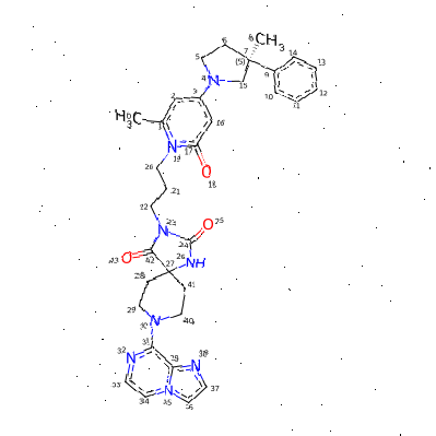 Cc1cc(N2CC[C@@](C)(c3ccccc3)C2)cc(=O)n1CCCN1C(=O)NC2(CCN(c3nccn4ccnc34)CC2)C1=O